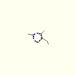 CCc1cnc(C)nc1Cl